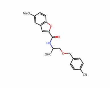 COc1ccc2oc(C(=O)NC(C=O)COCc3ccc(C#N)cc3)cc2c1